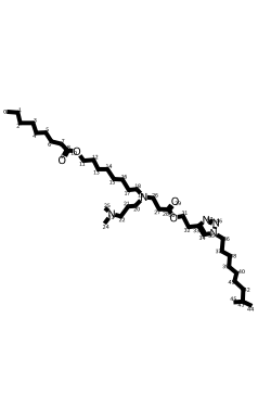 CCCCCCCCC(=O)OCCCCCCCCN(CCCN(C)C)CCC(=O)OCCc1cn(CCCCCCCC(C)C)nn1